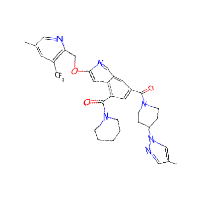 Cc1cnc(COc2cc3c(C(=O)N4CCCCC4)cc(C(=O)N4CCC(n5cc(C)cn5)CC4)cc3cn2)c(C(F)(F)F)c1